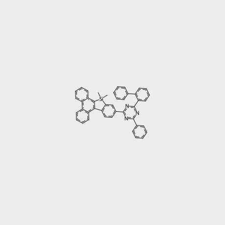 C[Si]1(C)c2cc(-c3nc(-c4ccccc4)nc(-c4ccccc4-c4ccccc4)n3)ccc2-c2c1c1ccccc1c1ccccc21